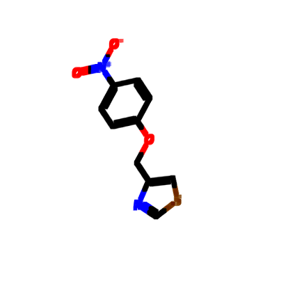 O=[N+]([O-])c1ccc(OCc2cscn2)cc1